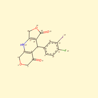 O=C1COCC2=C1C(c1ccc(F)c(I)c1)C1=C(COC1=O)N2